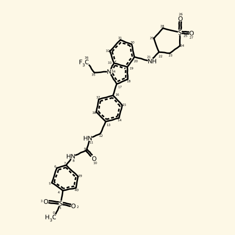 CS(=O)(=O)c1ccc(NC(=O)NCc2ccc(-c3cc4c(NC5CCS(=O)(=O)CC5)cccc4n3CC(F)(F)F)cc2)cc1